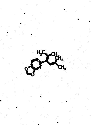 CC(C)=CC(=C(C)C)c1ccc2c(c1)OCO2